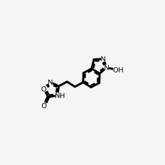 O=c1[nH]c(CCc2ccc3c(cnn3O)c2)no1